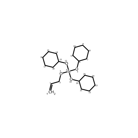 C=CCO[Si](OC1CCCCC1)(OC1CCCCC1)OC1CCCCC1